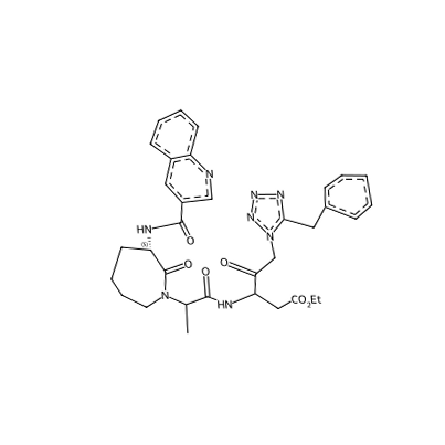 CCOC(=O)CC(NC(=O)C(C)N1CCCC[C@H](NC(=O)c2cnc3ccccc3c2)C1=O)C(=O)Cn1nnnc1Cc1ccccc1